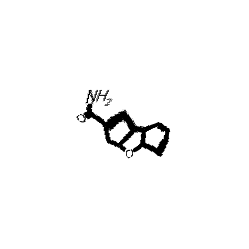 NC(=O)C1=CC2C(C1)OC1C=CC=CC12